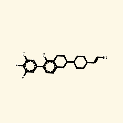 CC/C=C/C1CCC(C2CCc3c(ccc(-c4cc(F)c(F)c(F)c4)c3F)C2)CC1